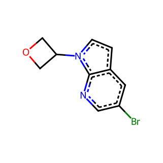 Brc1cnc2c(ccn2C2COC2)c1